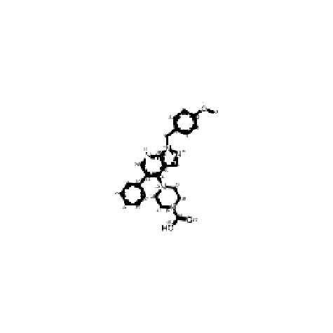 COc1ccc(Cn2ncc3c(N4CCN(C(=O)O)CC4)c(-c4ccccc4)cnc32)cc1